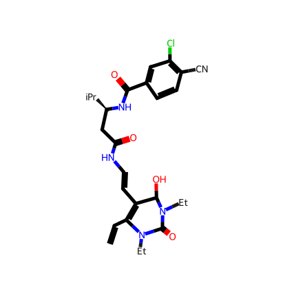 C=CC1=C(/C=C/NC(=O)C[C@H](NC(=O)c2ccc(C#N)c(Cl)c2)C(C)C)C(O)N(CC)C(=O)N1CC